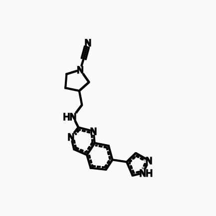 N#CN1CCC(CNc2ncc3ccc(-c4cn[nH]c4)cc3n2)C1